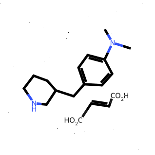 CN(C)c1ccc(CC2CCCNC2)cc1.O=C(O)/C=C/C(=O)O